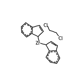 C1=C[CH]([Zr][CH]2C=Cc3ccccc32)c2ccccc21.ClCCCl